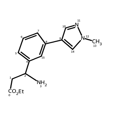 CCOC(=O)CC(N)c1cccc(-c2cnn(C)c2)c1